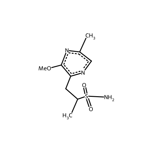 COc1nc(C)cnc1CC(C)S(N)(=O)=O